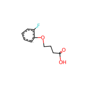 O=C(O)CCCOc1[c]cccc1F